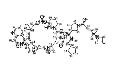 CCn1c(-c2cccnc2[C@H](C)OC)c2c3cc(ccc31)-c1nc(cs1)C[C@H](NC(=O)[C@H](C1CCCC1)N(C)C(=O)[C@H]1CCN(C(=O)C#CC(C)(C)N3CCC3)C1)C(=O)N1CCC[C@@](O)(N1)C(=O)OCC(C)(C)C2